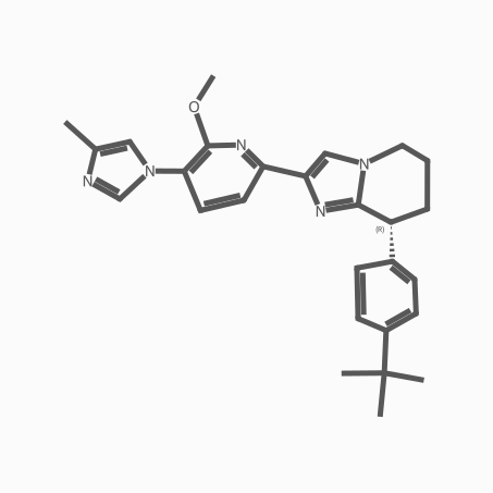 COc1nc(-c2cn3c(n2)[C@@H](c2ccc(C(C)(C)C)cc2)CCC3)ccc1-n1cnc(C)c1